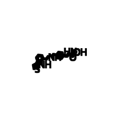 O=C(/C=C/c1ccc(CNCCc2cccc3c2[nH]c2sccc23)cc1)NO